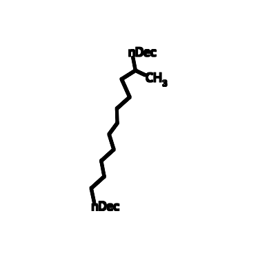 CCCCCCCCCCCCCCCCCCCC(C)CCCCCCCCCC